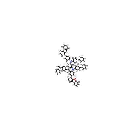 CC1(C)c2ccccc2-c2cc3c(cc21)-c1cc(N(c2ccc(-c4ccccc4)cc2)c2ccc(-c4cccc5c4Cc4ccccc4-5)cc2)cc(N(c2ccc(-c4ccccc4)cc2)c2ccc(-c4cccc5c4oc4ccccc45)cc2)c1C3(C)C